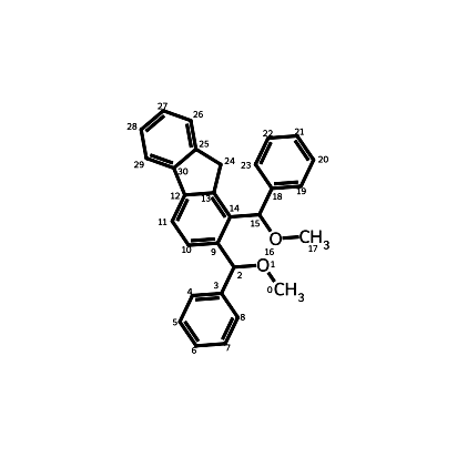 COC(c1ccccc1)c1ccc2c(c1C(OC)c1ccccc1)Cc1ccccc1-2